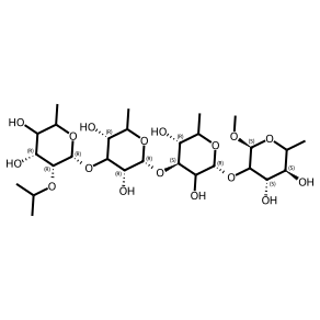 CO[C@H]1OC(C)[C@@H](O)[C@H](O)C1O[C@H]1OC(C)[C@@H](O)[C@H](O[C@H]2OC(C)[C@@H](O)C(O[C@H]3OC(C)C(O)[C@@H](O)[C@H]3OC(C)C)[C@H]2O)C1O